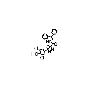 O=C(NCC(c1ccccc1)c1ccccc1)c1nnc(-c2cc(Cl)c(O)c(Cl)c2)o1